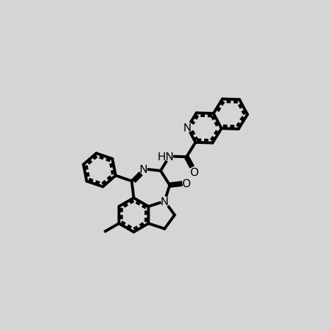 Cc1cc2c3c(c1)C(c1ccccc1)=NC(NC(=O)c1cc4ccccc4cn1)C(=O)N3CC2